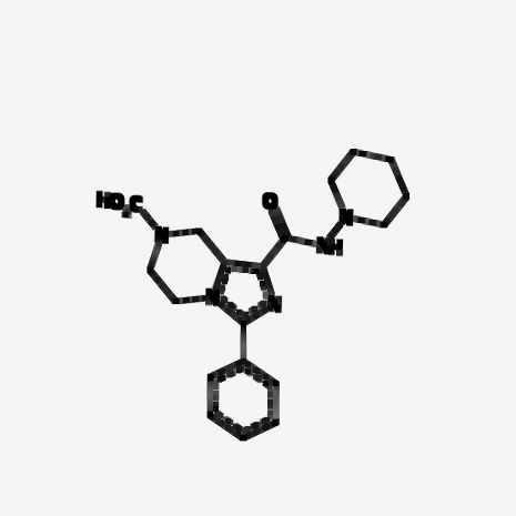 O=C(NN1CCCCC1)c1nc(-c2ccccc2)n2c1CN(C(=O)O)CC2